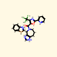 O=C(c1oc(-c2ccccn2)nc1C(F)(F)F)N1CCCc2[nH]cnc2[C@H]1c1nc2ccccc2s1